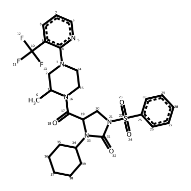 CC1CN(c2ncccc2C(F)(F)F)CCN1C(=O)C1CN(S(=O)(=O)c2ccccc2)C(=O)N1C1CCCCC1